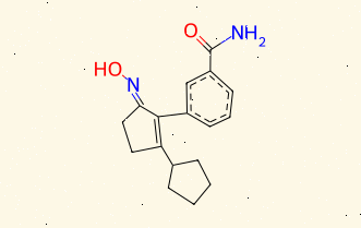 NC(=O)c1cccc(C2=C(C3CCCC3)CCC2=NO)c1